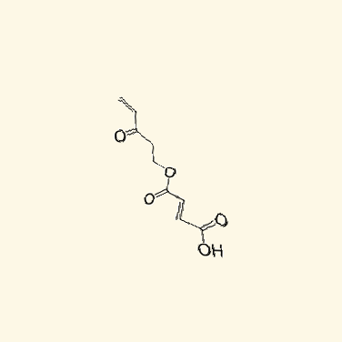 C=CC(=O)CCOC(=O)/C=C/C(=O)O